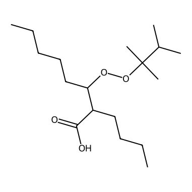 CCCCCC(OOC(C)(C)C(C)C)C(CCCC)C(=O)O